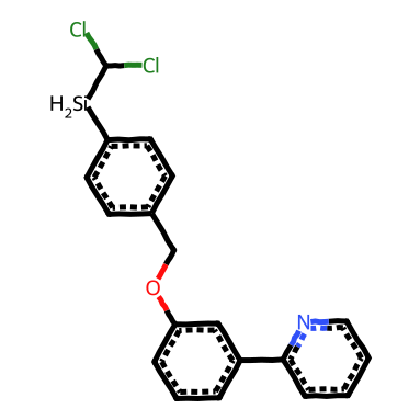 ClC(Cl)[SiH2]c1ccc(COc2cccc(-c3ccccn3)c2)cc1